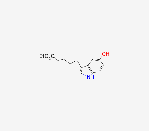 CCOC(=O)CCCCc1c[nH]c2ccc(O)cc12